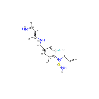 C=CCN(SNC)c1c(C)cc(CN/C(C)=C/C(C)=N)cc1F